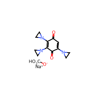 O=C([O-])O.O=C1C=C(N2CC2)C(=O)C(N2CC2)=C1N1CC1.[Na+]